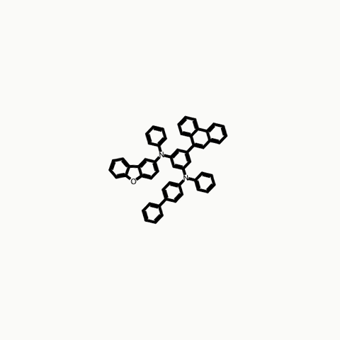 c1ccc(-c2ccc(N(c3ccccc3)c3cc(-c4cc5ccccc5c5ccccc45)cc(N(c4ccccc4)c4ccc5oc6ccccc6c5c4)c3)cc2)cc1